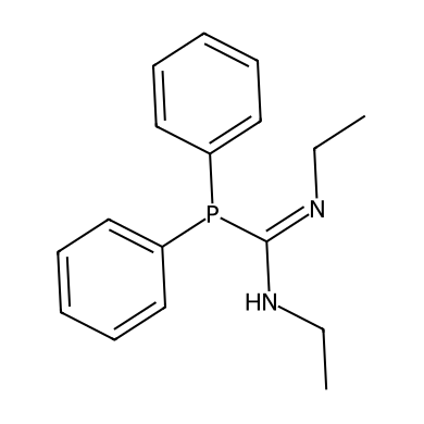 CC/N=C(/NCC)P(c1ccccc1)c1ccccc1